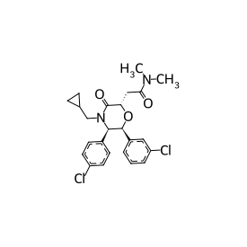 CN(C)C(=O)C[C@@H]1O[C@@H](c2cccc(Cl)c2)[C@@H](c2ccc(Cl)cc2)N(CC2CC2)C1=O